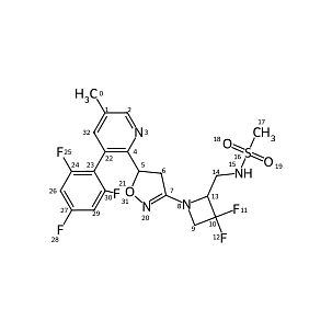 Cc1cnc(C2CC(N3CC(F)(F)C3CNS(C)(=O)=O)=NO2)c(-c2c(F)cc(F)cc2F)c1